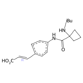 CCC(C)NC1(C(=O)Nc2ccc(/C=C/C(=O)O)cc2)CCC1